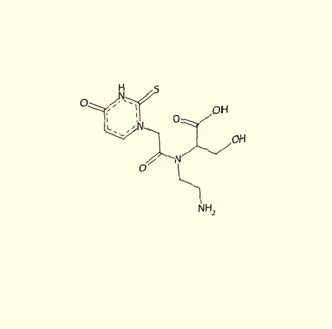 NCCN(C(=O)Cn1ccc(=O)[nH]c1=S)C(CO)C(=O)O